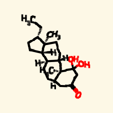 CC[C@H]1CC[C@H]2[C@@H]3CC[C@H]4CC(=O)CC(O)(O)[C@]4(C)[C@H]3CC[C@]12C